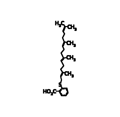 CC(C)=CCC/C(C)=C/CC/C(C)=C/CC/C(C)=C/CSc1ccccc1C(=O)O